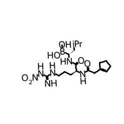 CC(C)C[C@H](NC(=O)[C@H](CCCNC(=N)N[N+](=O)[O-])NC(=O)CC1=CCCC1)B(O)O